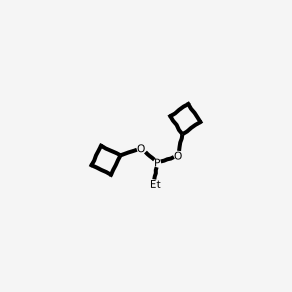 CCP(OC1CCC1)OC1CCC1